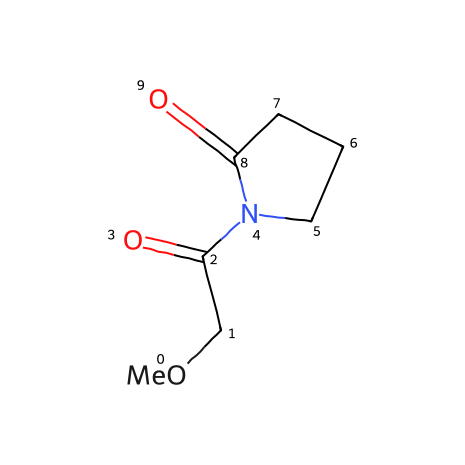 COCC(=O)N1CCCC1=O